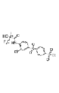 CCS(=O)(=O)c1ccc(S(=O)(=O)c2ccc(NC(=O)[C@@](C)(O)C(F)(F)F)c(Cl)c2)cc1